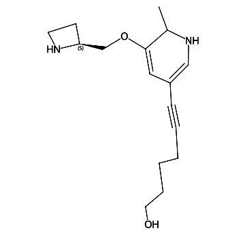 CC1NC=C(C#CCCCCO)C=C1OC[C@@H]1CCN1